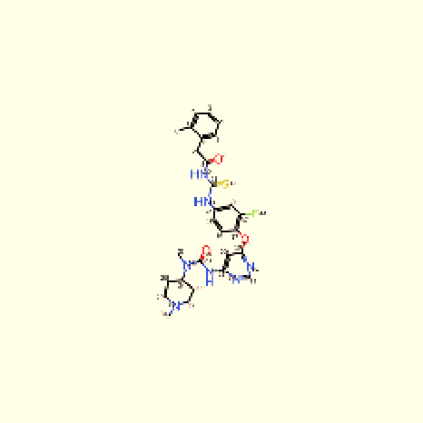 Cc1ccccc1CC(=O)NC(=S)Nc1ccc(Oc2cc(NC(=O)N(C)C3CCN(C)CC3)ncn2)c(F)c1